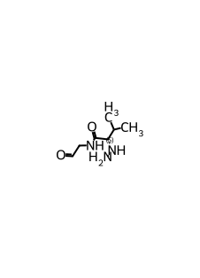 CC(C)[C@H](NN)C(=O)NCC=O